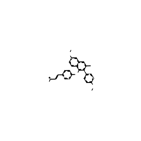 COc1ccc(-c2c(C)cc3cc(OC)ccc3c2Oc2ccc(/C=C/C(=O)O)cc2)cc1